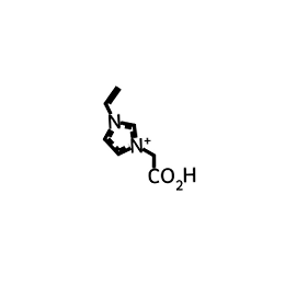 C=Cn1cc[n+](CC(=O)O)c1